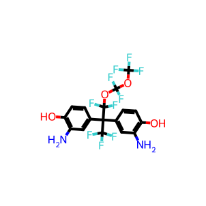 Nc1cc(C(c2ccc(O)c(N)c2)(C(F)(F)F)C(F)(F)OC(F)(F)OC(F)(F)F)ccc1O